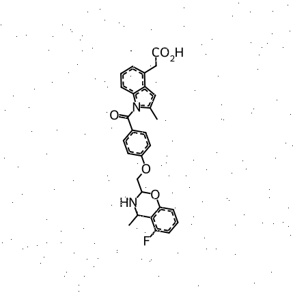 Cc1cc2c(CC(=O)O)cccc2n1C(=O)c1ccc(OCC2NC(C)c3c(F)cccc3O2)cc1